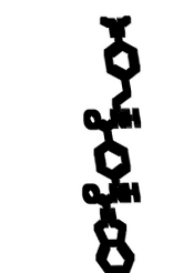 CN(C)c1ccc(CCNC(=O)c2ccc(NC(=O)N3Cc4ccccc4C3)cc2)cc1